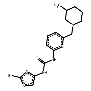 CC1CCCN(Cc2cccc(NC(=O)Nc3csc(Br)n3)n2)C1